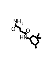 CC1CC(NC(=O)CCC(N)=O)CC(C)(C)C1